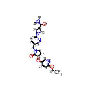 C=C(/N=C\C(=C/C)CN1CC[C@@H](Oc2ccc(OCC(F)(F)F)nc2)C1=O)N1CC(C(=O)N(C)C)C1